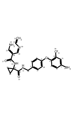 Bc1ccc(Oc2ccc(CNC(=O)C3(NC(=O)C(/C=N\C=C)=C/N)CC3)cc2)c(C(F)(F)F)c1